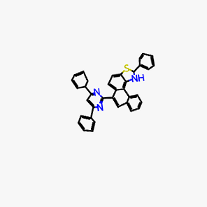 C1=CCC(c2cc(-c3ccccc3)nc(-c3cc4ccccc4c4c5c(ccc34)SC(c3ccccc3)N5)n2)C=C1